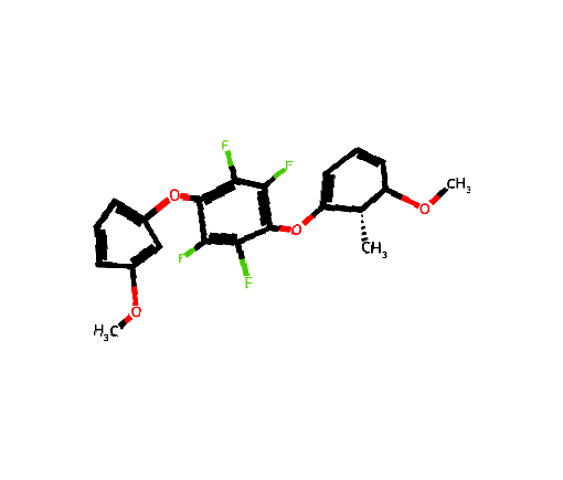 COc1cccc(Oc2c(F)c(F)c(OC3=CC=CC(OC)[C@@H]3C)c(F)c2F)c1